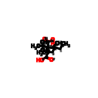 CCCCC(C)(C(=O)O)C(CC)(C(=O)O)C(C)(C)C